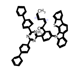 C=C(/C=C\C=C/C)c1cc(-n2c3ccccc3c3ccc4c5ccccc5sc4c32)ccc1-c1nc(-c2ccc(-c3ccccc3)cc2)nc(-c2ccc(-c3ccccc3)cc2)n1